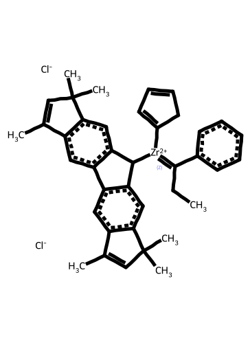 CC/[C](c1ccccc1)=[Zr+2](/[C]1=CC=CC1)[CH]1c2cc3c(cc2-c2cc4c(cc21)C(C)(C)C=C4C)C(C)=CC3(C)C.[Cl-].[Cl-]